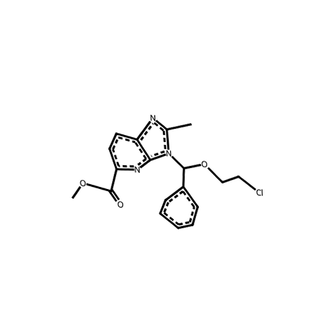 COC(=O)c1ccc2nc(C)n(C(OCCCl)c3ccccc3)c2n1